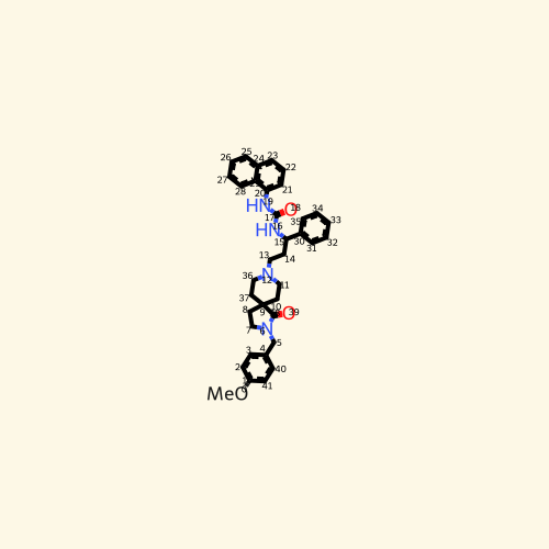 COc1ccc(CN2CCC3(CCN(CCC(NC(=O)Nc4cccc5ccccc45)c4ccccc4)CC3)C2=O)cc1